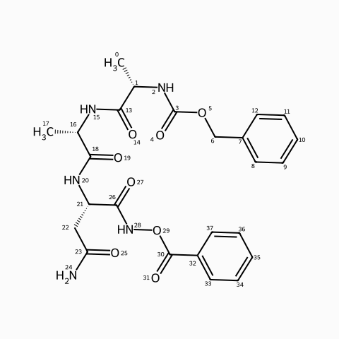 C[C@H](NC(=O)OCc1ccccc1)C(=O)N[C@@H](C)C(=O)N[C@@H](CC(N)=O)C(=O)NOC(=O)c1ccccc1